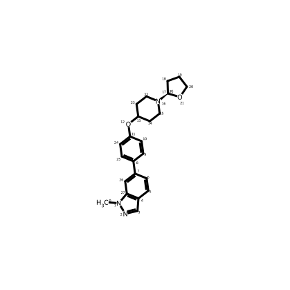 Cn1ncc2ccc(-c3ccc(OC4CCN([C@H]5CCCO5)CC4)cc3)cc21